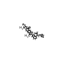 Cn1c(-c2cc3cccc(CCCn4ccnc4)c3n2CC2CC2)nc2cc3c(cc21)CCN(CC(N)CF)C3=O